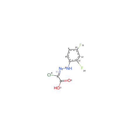 O=C(O)/C(Cl)=N\Nc1ccc(F)cc1F